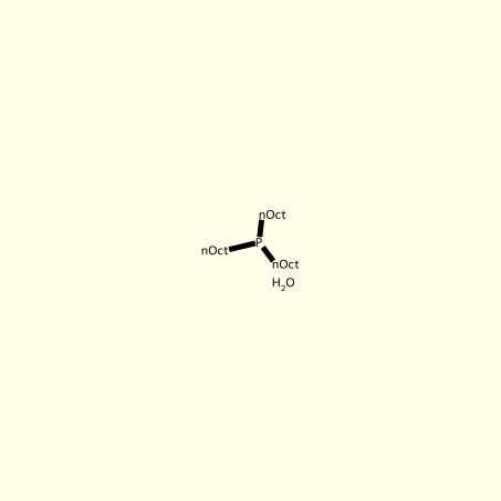 CCCCCCCCP(CCCCCCCC)CCCCCCCC.O